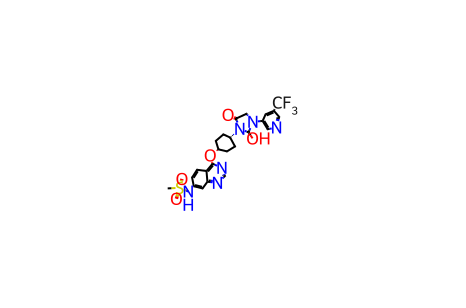 CS(=O)(=O)Nc1ccc2c(O[C@H]3CC[C@@H](N4C(=O)CN(c5cncc(C(F)(F)F)c5)C4O)CC3)ncnc2c1